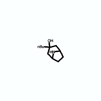 CCCCC1(O)CC2CCC(C1)N2